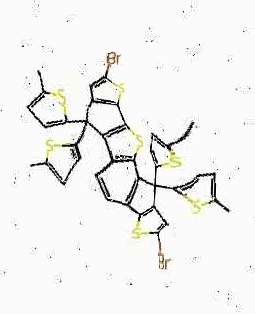 Cc1ccc(C2(c3ccc(C)s3)c3cc(Br)sc3-c3sc4c5c(ccc4c32)-c2sc(Br)cc2C5(c2ccc(C)s2)c2ccc(C)s2)s1